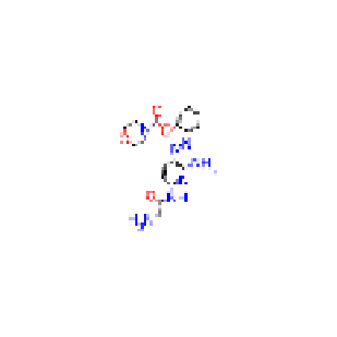 NCC(=O)Nc1ccc(/N=N/c2ccccc2OC(=O)N2CCOCC2)c(N)n1